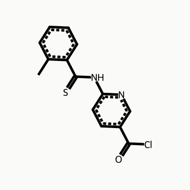 Cc1ccccc1C(=S)Nc1ccc(C(=O)Cl)cn1